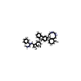 C/C=C\C(=C/c1csc2ncc(-n3c4ccccc4c4cc(N5C/C=C\C=C/CC6=C5C=CCCC6C)ccc43)cc12)c1ccccc1